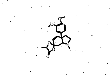 COc1ccc(C23C=CC4(CC2N(C)CC3)OC(=O)C(C)O4)cc1OC